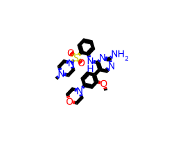 COc1cc(N2CCOCC2)ccc1-c1cnc(N)nc1Nc1ccccc1S(=O)(=O)N1CCN(C)CC1